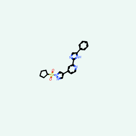 O=S(=O)(C1CCCC1)n1cc(-c2ccnc(-c3ncc(-c4ccccc4)[nH]3)c2)cn1